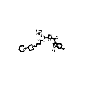 CCC(OC(=O)CCCN1CCC(N2CCCCC2)CC1)c1csc(C(=O)c2c[nH]c3cc(F)ccc23)n1.Cl.Cl